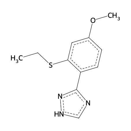 CCSc1cc(OC)ccc1-c1nc[nH]n1